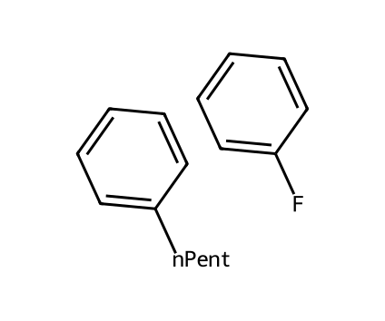 CCCCCc1ccccc1.Fc1ccccc1